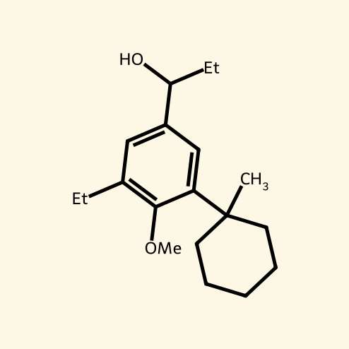 CCc1cc(C(O)CC)cc(C2(C)CCCCC2)c1OC